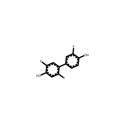 Oc1ccc(-c2cc(F)c(O)cc2F)cc1F